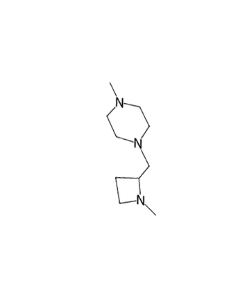 CN1CCN(CC2CCN2C)CC1